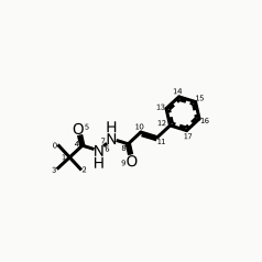 CC(C)(C)C(=O)NNC(=O)/C=C/c1ccccc1